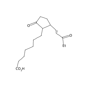 CCC(=O)/C=C/C1CCC(=O)C1CCCCCCC(=O)O